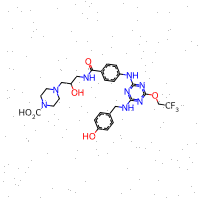 O=C(NCC(O)CN1CCN(C(=O)O)CC1)c1ccc(Nc2nc(NCc3ccc(O)cc3)nc(OCC(F)(F)F)n2)cc1